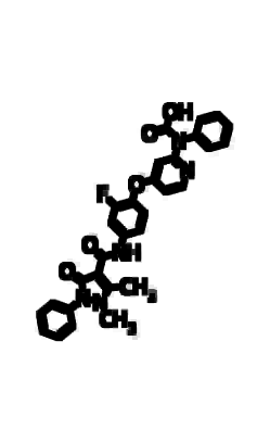 Cc1c(C(=O)Nc2ccc(Oc3ccnc(N(C(=O)O)c4ccccc4)c3)c(F)c2)c(=O)n(-c2ccccc2)n1C